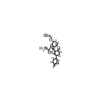 CC(C)(C)COc1cnc2c(c1)[C@]1(COC(N)=N1)c1cc(-c3ccc(F)nc3)ccc1O2